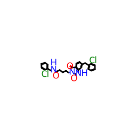 O=C(CCCCn1c(=O)[nH]c2cc(Cc3ccccc3Cl)ccc2c1=O)NCc1ccccc1Cl